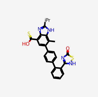 Cc1c(-c2ccc(-c3ccccc3-c3nc(=O)s[nH]3)cc2)cc(C(O)=S)c2nc(C(C)C)[nH]c12